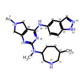 CC(=O)N1Cc2nc(N(C)C3CCC(C)CNC3)nc(Nc3ccc4[nH]ncc4c3)c2C1